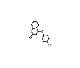 O=c1cc(Sc2ccc(Cl)cc2)c2ccccc2o1